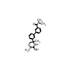 CN(C)C(=O)c1cccc(-c2cccc(C3(C)CON(C)C(=N)N3)c2)c1